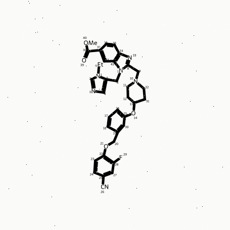 CCn1cncc1Cn1c(CN2CCC(Oc3cccc(COc4ccc(C#N)cc4F)c3)CC2)nc2ccc(C(=O)OC)cc21